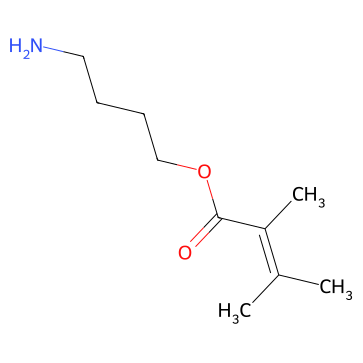 CC(C)=C(C)C(=O)OCCCCN